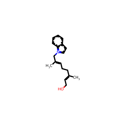 CC(=CCO)CCC=C(C)Cn1ccc2ccccc21